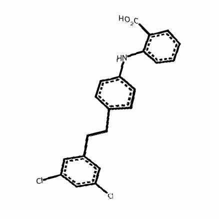 O=C(O)c1ccccc1Nc1ccc(CCc2cc(Cl)cc(Cl)c2)cc1